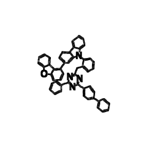 c1ccc(-c2ccc(-c3nc(Cc4ccccc4-n4c5ccccc5c5ccc(-c6cccc7oc8ccccc8c67)cc54)nc(-c4ccccc4)n3)cc2)cc1